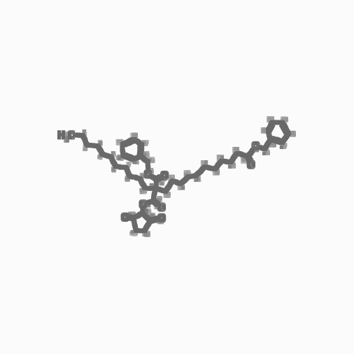 CCCCCCCCCCCC(CCCCCCCCCCC(=O)OCc1ccccc1)(C(=O)OCc1ccccc1)C(=O)OC1C(=O)CCC1=O